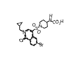 O=C(O)NC1CCN(S(=O)(=O)c2cn(CC3CC3)c(=O)c3ccc(Br)cc23)CC1